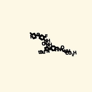 Cc1cc(Oc2ccc(NC(=O)Nc3cc(C(C)(C)C)nn3-c3ccc(CNC(=O)CNC(=O)O)cc3)c(F)c2)ccn1